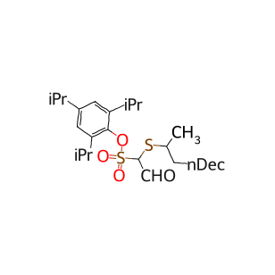 CCCCCCCCCCCC(C)SC(C=O)S(=O)(=O)Oc1c(C(C)C)cc(C(C)C)cc1C(C)C